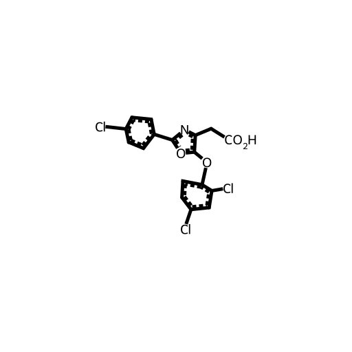 O=C(O)Cc1nc(-c2ccc(Cl)cc2)oc1Oc1ccc(Cl)cc1Cl